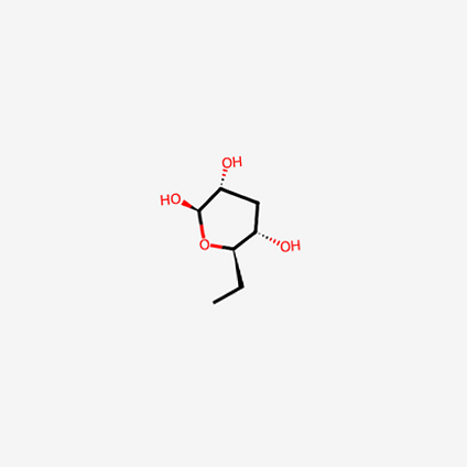 CC[C@H]1O[C@@H](O)[C@H](O)C[C@@H]1O